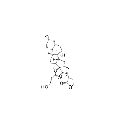 C[C@@H]1C[C@H]2[C@@H]3CCC4=CC(=O)C=C[C@]4(C)[C@H]3CC[C@]2(C)[C@@]1(OC(=O)CCO)C(=O)SC1CCOC1=O